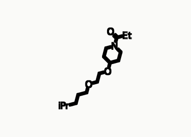 CCC(=O)N1CCC(OCCOCCCC(C)C)CC1